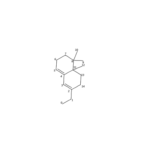 CCC1=CC2=CCCC(C)(C)C2(C)CC1